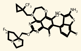 N#Cc1c(N)sc2c(F)ccc(-c3c(Cl)c4c5c(nc(OC[C@@]67CCCN6C[C@H](F)C7)nc5c3F)N(CC3(C(F)(F)F)CC3)CCO4)c12